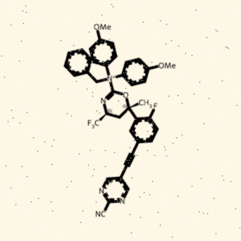 COc1ccc([N+](Cc2ccccc2)(C2=N[C@H](C(F)(F)F)C[C@@](C)(c3cc(C#Cc4cnc(C#N)nc4)ccc3F)O2)c2ccc(OC)cc2)cc1